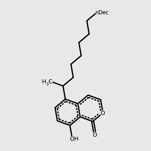 CCCCCCCCCCCCCCCCC(C)c1ccc(O)c2c(=O)occc12